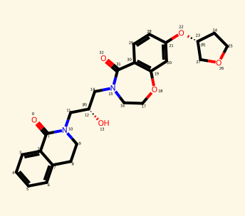 O=C1c2ccccc2CCN1C[C@@H](O)CN1CCOc2cc(O[C@@H]3CCOC3)ccc2C1=O